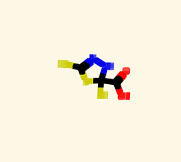 O=C(O)C1(S)NN=C(S)S1